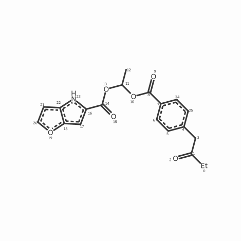 CCC(=O)Cc1ccc(C(=O)OC(C)OC(=O)c2cc3occc3[nH]2)cc1